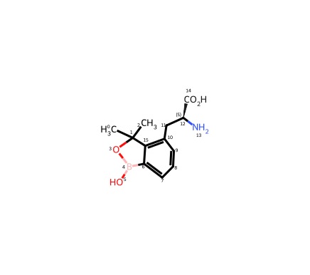 CC1(C)OB(O)c2cccc(C[C@H](N)C(=O)O)c21